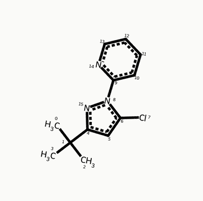 CC(C)(C)c1cc(Cl)n(-c2ccccn2)n1